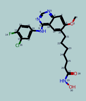 COc1cc2ncnc(Nc3ccc(F)c(Cl)c3)c2cc1CCCCCCC(=O)NO